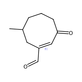 CC1CCCC(=O)/C=C(/C=O)C1